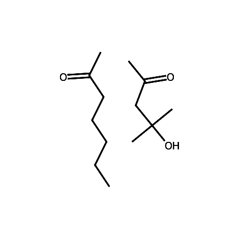 CC(=O)CC(C)(C)O.CCCCCC(C)=O